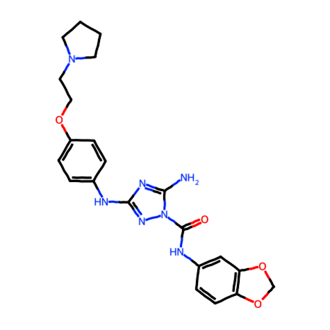 Nc1nc(Nc2ccc(OCCN3CCCC3)cc2)nn1C(=O)Nc1ccc2c(c1)OCO2